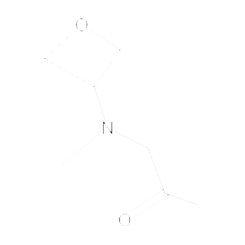 CC(=O)CN(C)C1COC1